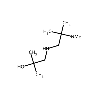 CNC(C)(C)CNCC(C)(C)O